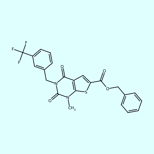 Cn1c(=O)n(Cc2cccc(C(F)(F)F)c2)c(=O)c2cc(C(=O)OCc3ccccc3)sc21